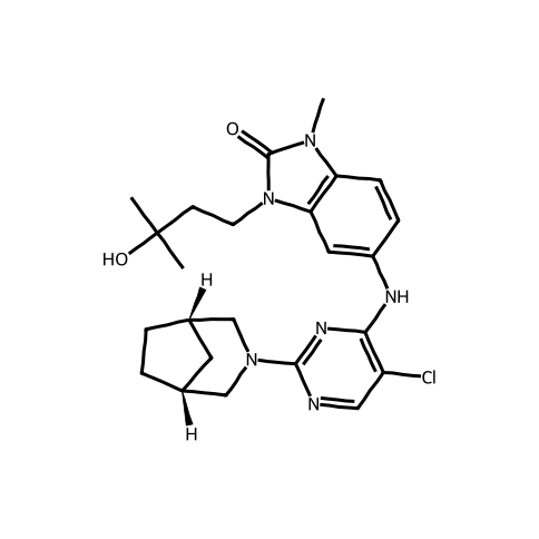 Cn1c(=O)n(CCC(C)(C)O)c2cc(Nc3nc(N4C[C@@H]5CC[C@@H](C5)C4)ncc3Cl)ccc21